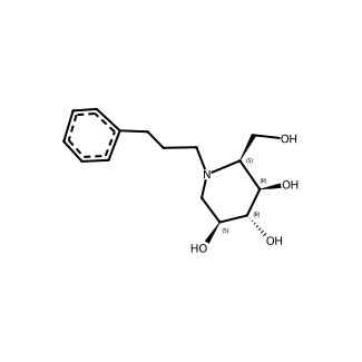 OC[C@H]1[C@@H](O)[C@H](O)[C@@H](O)CN1CCCc1ccccc1